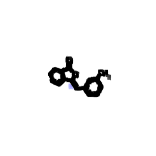 Cc1cccc(/C=C2\OC(=O)c3ccccc32)c1